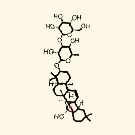 C[C@H]1O[C@@H](O[C@H]2CC[C@]3(C)[C@H]4C=C[C@]56OC[C@@]7(CCC(C)(C)C[C@H]75)[C@@H](O)C[C@@]6(C)[C@]4(C)CC[C@H]3C2(C)C)[C@H](O)[C@@H](O[C@@H]2O[C@H](CO)[C@@H](O)[C@H](O)[C@H]2O)[C@H]1O